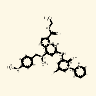 CCOC(=O)c1cnc2c(N(C)Cc3ccc(OC)cc3)cc(Nc3cc(F)cn(-c4ccccn4)c3=O)nn12